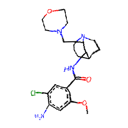 COc1cc(N)c(Cl)cc1C(=O)NC1C2CCN(CC2)C1CN1CCOCC1